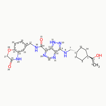 C=C(O)[C@H]1CC[C@H](CNc2n[nH]c3c(C(=O)NCc4ccc5c(c4)NC(=O)CO5)ncnc23)CC1